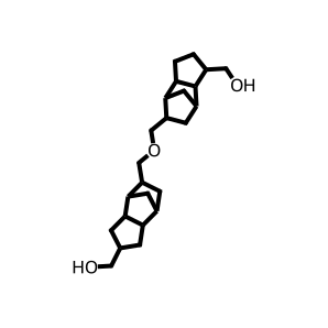 OCC1CC2C3CC(COCC4CC5CC4C4CCC(CO)C54)C(C3)C2C1